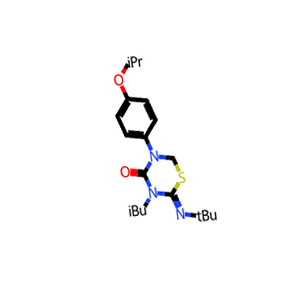 CCC(C)N1C(=O)N(c2ccc(OC(C)C)cc2)CS/C1=N\C(C)(C)C